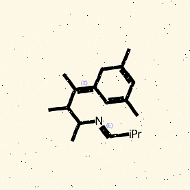 CC1=C/C(=C(/C)C(C)C(C)/N=C/C(C)C)CC(C)=C1